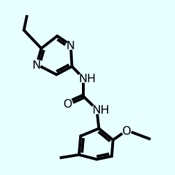 CCc1cnc(NC(=O)Nc2cc(C)ccc2OC)cn1